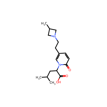 CC(C)CC(C(=O)O)n1cc(CCN2CC(C)C2)ccc1=O